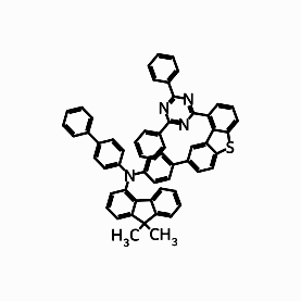 CC1(C)c2ccccc2-c2c(N(c3ccc(-c4ccccc4)cc3)c3ccc(-c4ccc5sc6cccc(-c7nc(-c8ccccc8)nc(-c8ccccc8)n7)c6c5c4)cc3)cccc21